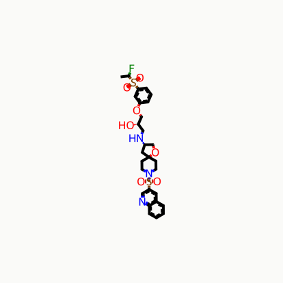 CC(F)S(=O)(=O)c1cccc(OC[C@@H](O)CN[C@H]2COC3(CCN(S(=O)(=O)c4cnc5ccccc5c4)CC3)C2)c1